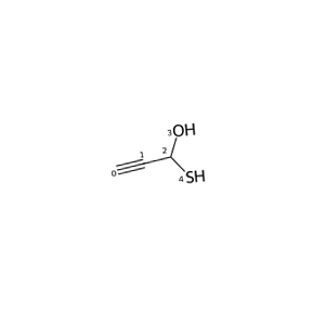 C#CC(O)S